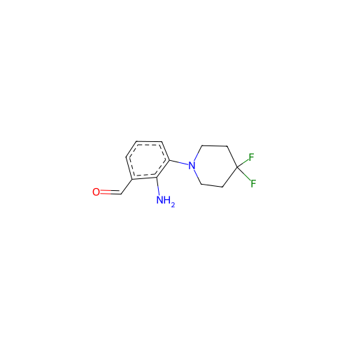 Nc1c(C=O)cccc1N1CCC(F)(F)CC1